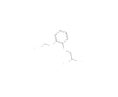 CCOc1ccccc1OCC(C)C